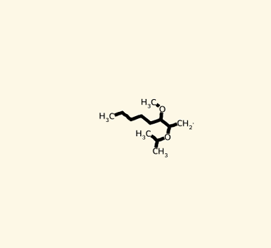 [CH2]C(OC(C)C)C(CCCCC)OC